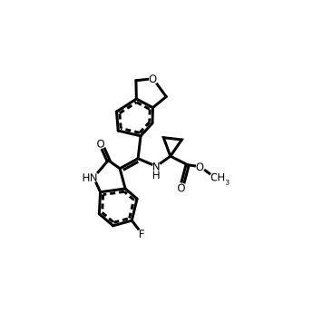 COC(=O)C1(NC(=C2C(=O)Nc3ccc(F)cc32)c2ccc3c(c2)COC3)CC1